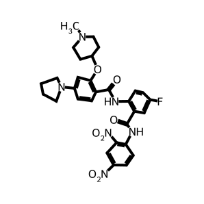 CN1CCC(Oc2cc(N3CCCC3)ccc2C(=O)Nc2ccc(F)cc2C(=O)Nc2ccc([N+](=O)[O-])cc2[N+](=O)[O-])CC1